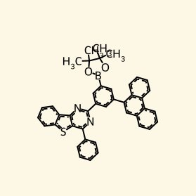 CC1(C)OB(c2cc(-c3nc(-c4ccccc4)c4sc5ccccc5c4n3)cc(-c3cc4ccccc4c4ccccc34)c2)OC1(C)C